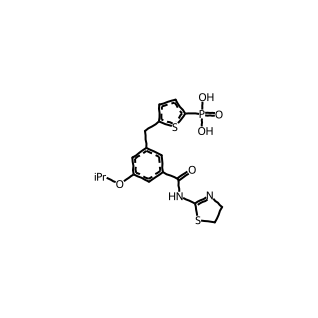 CC(C)Oc1cc(Cc2ccc(P(=O)(O)O)s2)cc(C(=O)NC2=NCCS2)c1